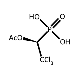 CC(=O)O[C@H](C(Cl)(Cl)Cl)P(=O)(O)O